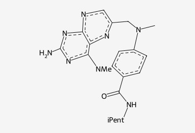 CCCC(C)NC(=O)c1ccc(N(C)Cc2cnc3nc(N)nc(NC)c3n2)cc1